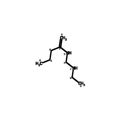 C=C(CCC)NCNCC